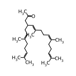 CC(=O)CC(C=C(C)CCC=C(C)CCC=C(C)C)C/C=C(\C)CCC=C(C)C